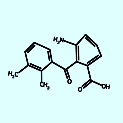 Cc1cccc(C(=O)c2c(N)cccc2C(=O)O)c1C